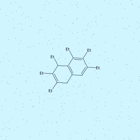 CCC1=C(CC)C(CC)c2c(cc(CC)c(CC)c2CC)[CH]1